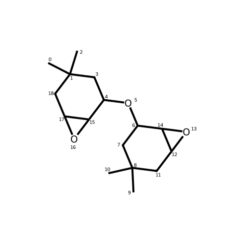 CC1(C)CC(OC2CC(C)(C)CC3OC23)C2OC2C1